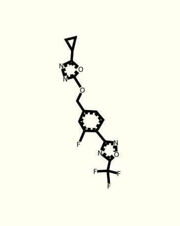 Fc1cc(COc2nnc(C3CC3)o2)ccc1-c1noc(C(F)(F)F)n1